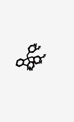 Fc1cc(CC2(Cc3ccnc(F)c3)c3ccccc3-c3nnccc32)ccn1